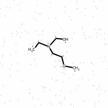 CCN(CO)CCOC